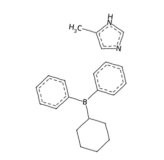 Cc1cnc[nH]1.c1ccc(B(c2ccccc2)C2CCCCC2)cc1